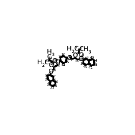 C=C(C)C(=O)OC(COc1ccc(OCC(COc2ccc3ccccc3c2)OC(=O)C(=C)C)cc1)COc1ccc2ccccc2c1